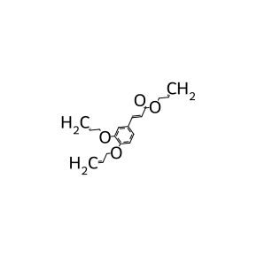 C=CCOC(=O)/C=C/c1ccc(OCC=C)c(OCC=C)c1